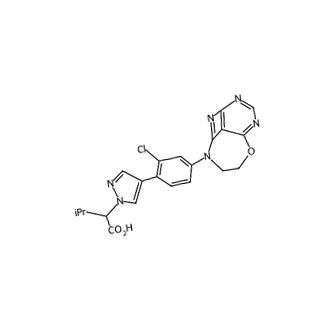 CC(C)C(C(=O)O)n1cc(-c2ccc(N3CCOc4ncnc5c4C3=N5)cc2Cl)cn1